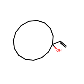 C=CC1(O)CCCCCCCCCCCCCC1